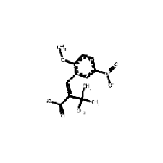 COc1ccc([N+](=O)[O-])cc1C=C(C(=O)O)C(C)(C)C